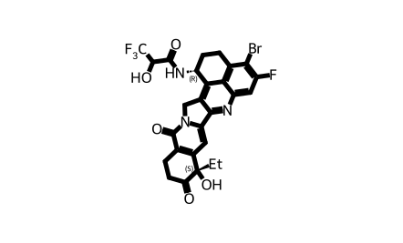 CC[C@@]1(O)C(=O)CCc2c1cc1n(c2=O)Cc2c-1nc1cc(F)c(Br)c3c1c2[C@H](NC(=O)C(O)C(F)(F)F)CC3